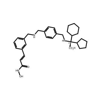 O=C(C=Cc1cccc(CNCc2ccc(CN[C@](C(=O)O)(C3CCCCC3)C3CCCC3)cc2)c1)NO